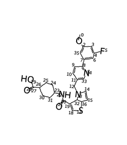 COc1cc(F)cc(-c2ccc(CN3C=CC4SC=C(C(=O)NC5CCC(C(=O)O)CC5)C43)cn2)c1